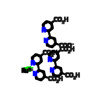 O=C(O)c1ccnc(-c2cc(C(=O)O)ccn2)c1.O=C(O)c1ccnc(-c2cc(C(=O)O)ccn2)c1.O=C([O-])c1ccnc(-c2cc(C(=O)O)ccn2)c1.[Cl-].[Cl].[Ru+2]